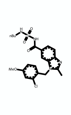 CCCCNS(=O)(=O)NC(=O)c1ccc2nc(C)n(Cc3ccc(OC)cc3Cl)c2c1